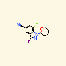 N#Cc1cc(F)c2c(c1)c(I)nn2C1CCCCO1